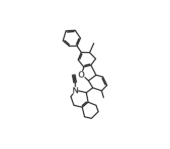 C#CN1CCC2=C(CCCC2)C1C1C(C)C=CC2C3=C(C=C(c4ccccc4)C(C)C3)OC21